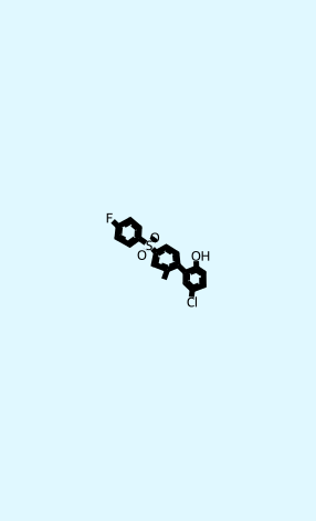 Cc1cc(S(=O)(=O)c2ccc(F)cc2)ccc1-c1cc(Cl)ccc1O